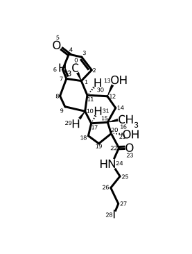 C[C@]12C=CC(=O)C=C1CC[C@@H]1[C@@H]2[C@@H](O)C[C@@]2(C)[C@H]1CC[C@]2(O)C(=O)NCCCI